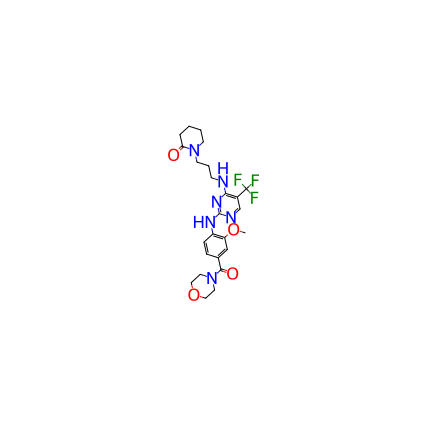 COc1cc(C(=O)N2CCOCC2)ccc1Nc1ncc(C(F)(F)F)c(NCCCN2CCCCC2=O)n1